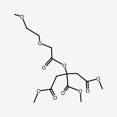 COCCOCC(=O)OC(CC(=O)OC)(CC(=O)OC)C(=O)OC